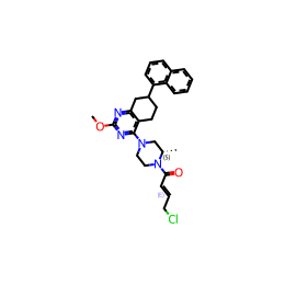 COc1nc2c(c(N3CCN(C(=O)/C=C/CCl)[C@@H](C)C3)n1)CCC(c1cccc3ccccc13)C2